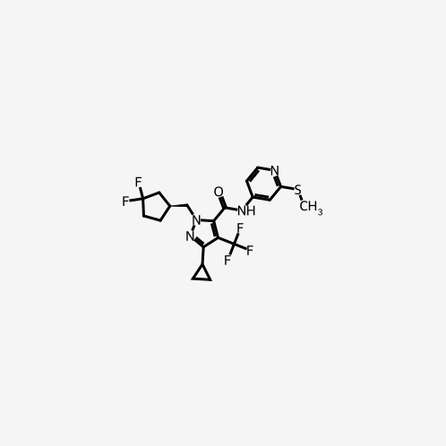 CSc1cc(NC(=O)c2c(C(F)(F)F)c(C3CC3)nn2C[C@H]2CCC(F)(F)C2)ccn1